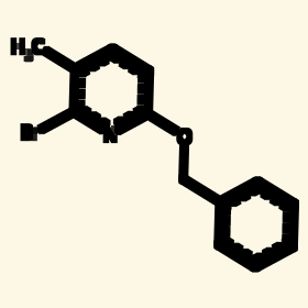 Cc1ccc(OCc2ccccc2)nc1Br